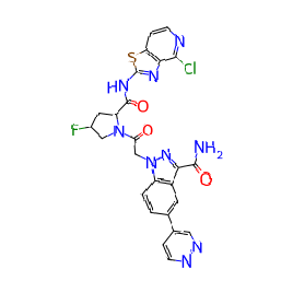 NC(=O)c1nn(CC(=O)N2CC(F)CC2C(=O)Nc2nc3c(Cl)nccc3s2)c2ccc(-c3ccnnc3)cc12